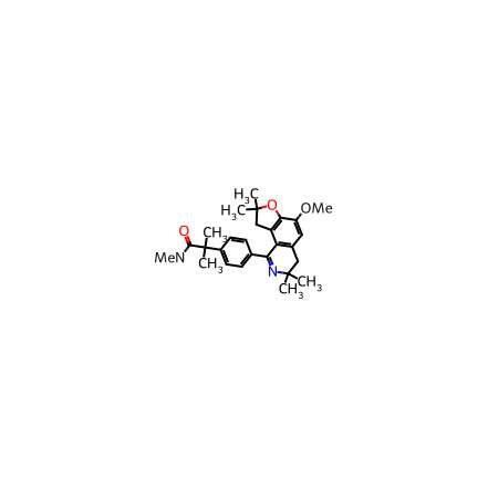 CNC(=O)C(C)(C)c1ccc(C2=NC(C)(C)Cc3cc(OC)c4c(c32)CC(C)(C)O4)cc1